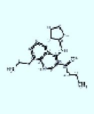 CCCc1cccc2c(NC3CCCC3)c(C(=O)OCC)cnc12